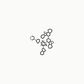 C1=CC(c2ccc(-c3nc(-c4ccc5ccccc5c4)nc(-c4cc(-c5cc6ccccc6c6sc7ccccc7c56)cc5oc6ccccc6c45)n3)cc2)=CCC1